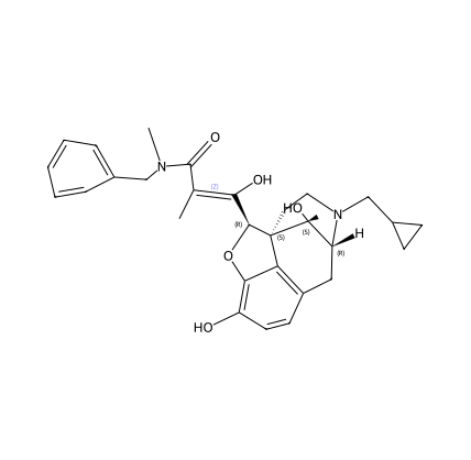 C/C(C(=O)N(C)Cc1ccccc1)=C(/O)[C@@H]1Oc2c(O)ccc3c2[C@@]12CCN(CC1CC1)[C@H](C3)[C@@]2(C)O